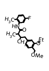 CCOc1cc(CC(C)C(C)C(=O)Nc2cc(F)ccc2C)ccc1COC